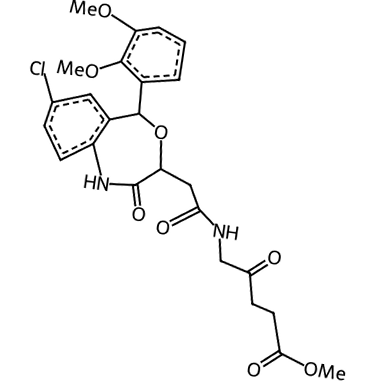 COC(=O)CCC(=O)CNC(=O)CC1OC(c2cccc(OC)c2OC)c2cc(Cl)ccc2NC1=O